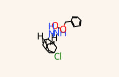 O=C(NNC1[C@H]2CC3C[C@H]1CC(Cl)(C3)C2)OCc1ccccc1